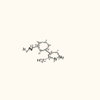 Cc1n[nH]cc1-c1cccc(N)c1